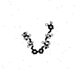 Cn1cnc2ncn(Cc3nn(CCc4cccc(-c5cccc(Cn6cnc7ncn(Cc8nn(CCc9ccc(Br)c(Cl)c9)c(=O)o8)c(=O)c76)c5)c4)c(=O)o3)c(=O)c21